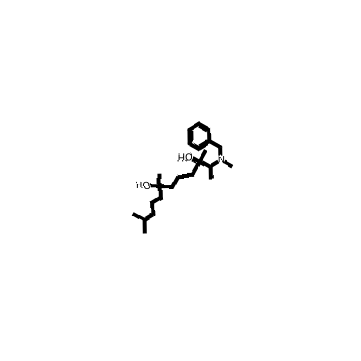 CC(C)CCCC(C)(O)CCCC(C)(O)C(C)N(C)Cc1ccccc1